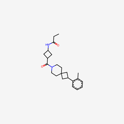 CCC(=O)NC1CC(C(=O)N2CCC3(CC2)CC(c2ccccc2C)C3)C1